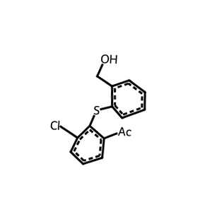 CC(=O)c1cccc(Cl)c1Sc1ccccc1CO